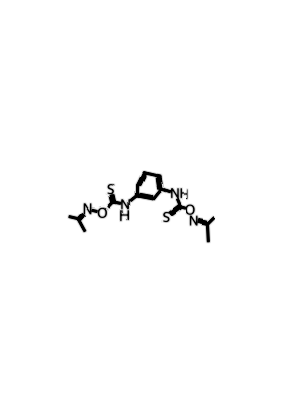 CC(C)=NOC(=S)Nc1cccc(NC(=S)ON=C(C)C)c1